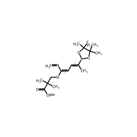 C=N/C(=C\C=C(/C)B1OC(C)(C)C(C)(C)O1)OCC(C)(C)C(=O)OC